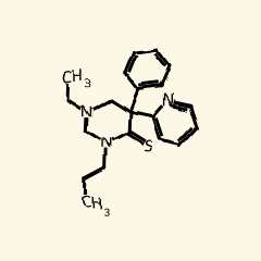 CCCN1CN(CC)CC(c2ccccc2)(c2ccccn2)C1=S